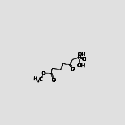 COC(=O)CCCC(=O)CP(=O)(O)O